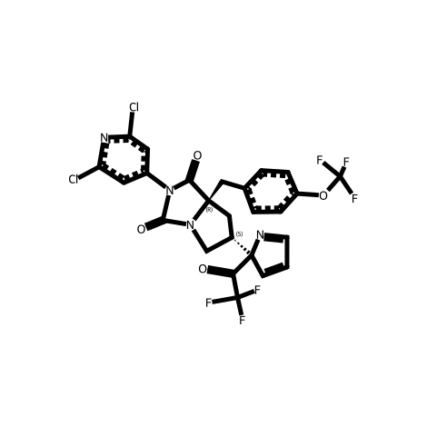 O=C1N(c2cc(Cl)nc(Cl)c2)C(=O)[C@]2(Cc3ccc(OC(F)(F)F)cc3)C[C@H](C3(C(=O)C(F)(F)F)C=CC=N3)CN12